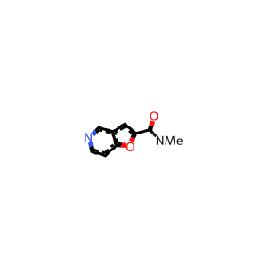 CNC(=O)c1cc2cnccc2o1